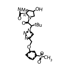 CNC(=O)[C@H]1CC(O)CN1C(=O)C(n1cc(COc2cccc(S(C)(=O)=O)c2)nn1)C(C)(C)C